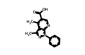 Cc1nn(-c2ccccc2)c2ncc(C(=O)O)c(C)c12